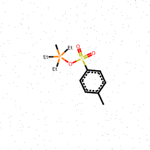 CCP(C)(CC)(CC)OS(=O)(=O)c1ccc(C)cc1